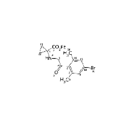 CCOC(=O)C1(NCC(=O)c2c(C)cc(Br)cc2C)CC1